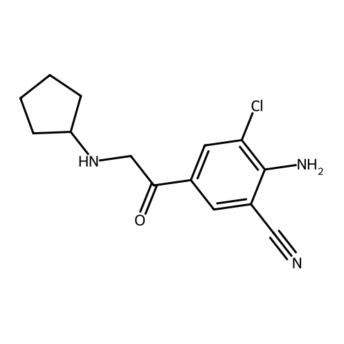 N#Cc1cc(C(=O)CNC2CCCC2)cc(Cl)c1N